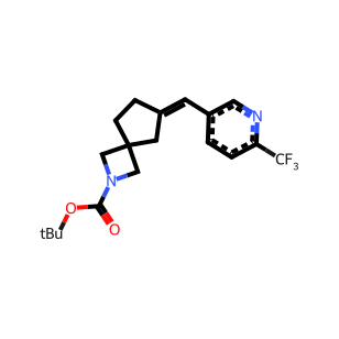 CC(C)(C)OC(=O)N1CC2(CC/C(=C/c3ccc(C(F)(F)F)nc3)C2)C1